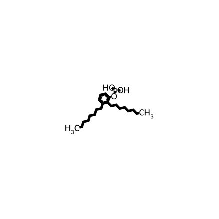 CCCCCCCCc1cccc(OP(O)O)c1CCCCCCCC